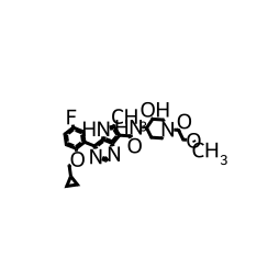 COCC(=O)N1CC[C@@H](NC(=O)c2c(C)[nH]c3c(-c4cc(F)ccc4OCC4CC4)ncnc23)[C@H](O)C1